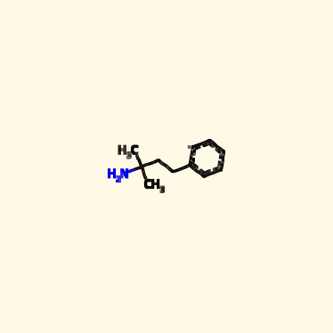 CC(C)(N)CCc1[c]cccc1